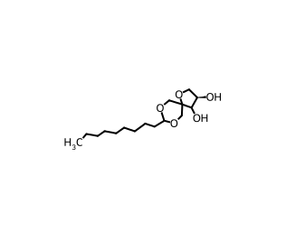 CCCCCCCCCC1OCC2(CO1)OC[C@@H](O)C2O